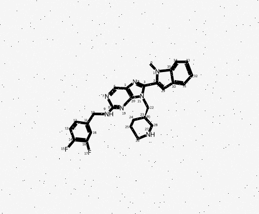 Cn1c(-c2nc3cnc(NCc4ccc(F)c(F)c4)nc3n2C[C@@H]2CCCNC2)cc2ccccc21